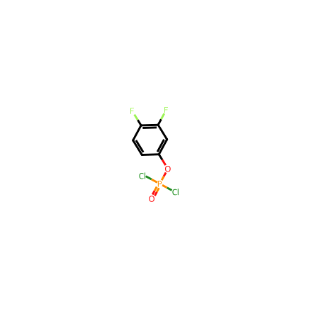 O=P(Cl)(Cl)Oc1ccc(F)c(F)c1